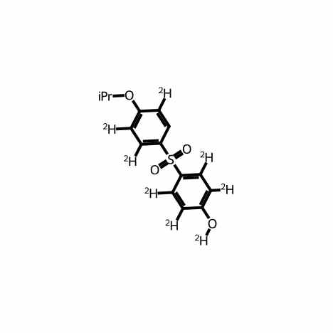 [2H]Oc1c([2H])c([2H])c(S(=O)(=O)c2cc([2H])c(OC(C)C)c([2H])c2[2H])c([2H])c1[2H]